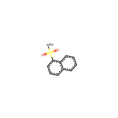 [CH2-][NH2+]S(=O)(=O)c1cccc2ccccc12